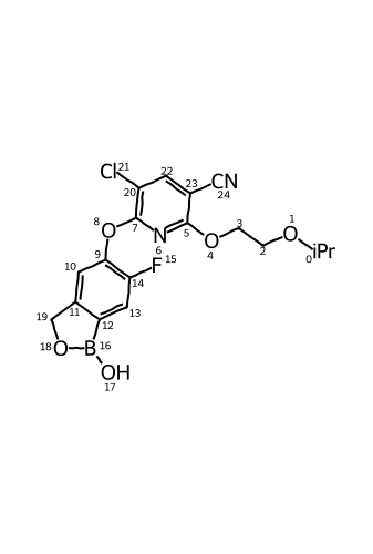 CC(C)OCCOc1nc(Oc2cc3c(cc2F)B(O)OC3)c(Cl)cc1C#N